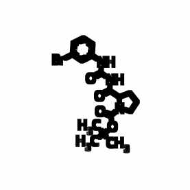 CC(C)(C)OC(=O)N1CCCC1C(=O)NC(=O)Nc1cccc(Br)c1